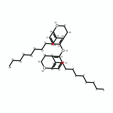 CCCCCCCCCc1c2ccc(Oc3ccc4c(CCCCCCCCC)c3CCO4)c1CCO2